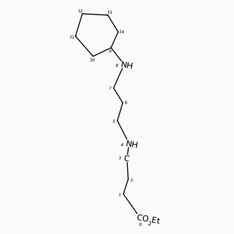 CCOC(=O)CCCNCCCNC1CCCCC1